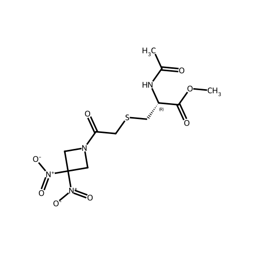 COC(=O)[C@H](CSCC(=O)N1CC([N+](=O)[O-])([N+](=O)[O-])C1)NC(C)=O